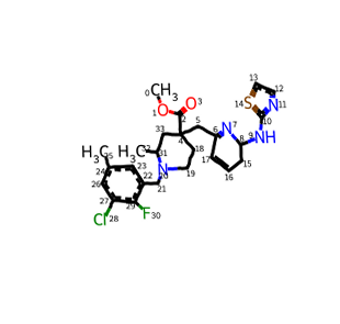 COC(=O)C1(CC2=NC(Nc3nccs3)CC=C2)CCN(Cc2cc(C)cc(Cl)c2F)C(C)C1